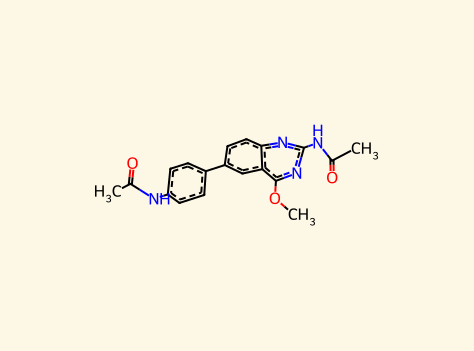 COc1nc(NC(C)=O)nc2ccc(-c3ccc(NC(C)=O)cc3)cc12